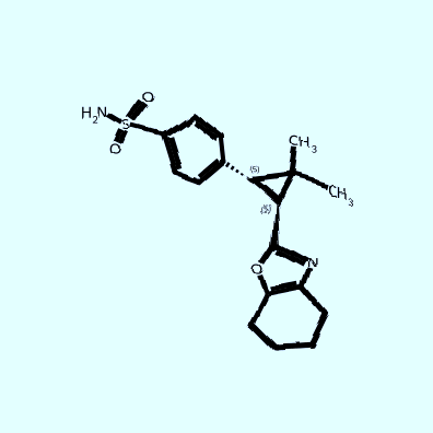 CC1(C)[C@@H](c2ccc(S(N)(=O)=O)cc2)[C@@H]1c1nc2c(o1)CCCC2